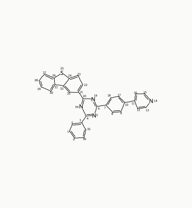 c1ccc(-c2nc(-c3ccc(-c4ccncc4)cc3)nc(-c3ccc4sc5ccccc5c4c3)n2)cc1